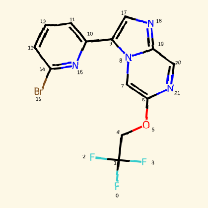 FC(F)(F)COc1cn2c(-c3cccc(Br)n3)cnc2cn1